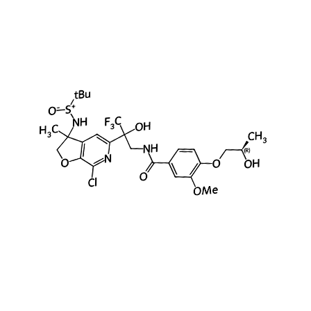 COc1cc(C(=O)NCC(O)(c2cc3c(c(Cl)n2)OCC3(C)N[S+]([O-])C(C)(C)C)C(F)(F)F)ccc1OC[C@@H](C)O